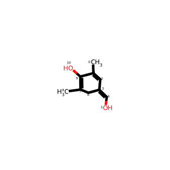 CC1=CC(=CO)CC(C)=C1O